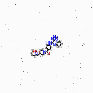 O=C(c1ccc(Nc2nc3ccccc3n3nnnc23)cc1)N1CCC(O)(CN2CCCCC2)CC1